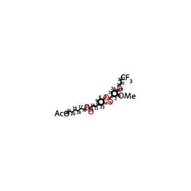 COc1cc(C(=O)Oc2ccc(/C=C/C(=O)OCCCCCCOC(C)=O)cc2)ccc1OCCCC(F)(F)F